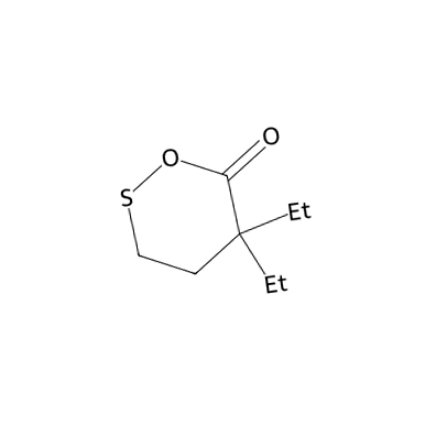 CCC1(CC)CCSOC1=O